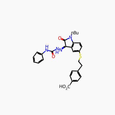 CCCCN1C(=O)C(=NNC(=O)Nc2ccccc2)c2cc(SCCc3ccc(C(=O)O)cc3)ccc21